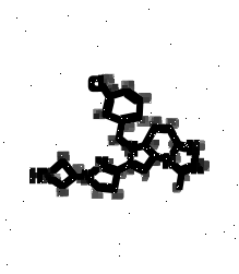 Cc1nnc2n1C1C=C(c3ccn(C4CNC4)n3)N(Cc3cccc(Cl)c3)C1C=C2